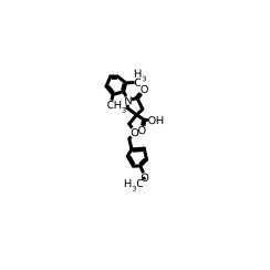 COc1ccc(COCC2(C(=O)O)CC(=O)N(c3c(C)cccc3C)C2)cc1